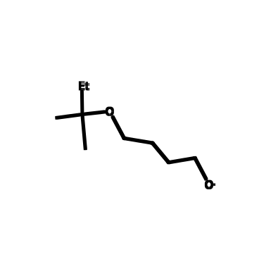 CCC(C)(C)OCCCC[O]